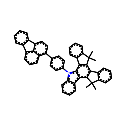 CC1(C)c2ccccc2-c2c1c1c(c3c4ccccc4n(-c4ccc(-c5ccc6c7c(cccc57)-c5ccccc5-6)cc4)c23)C(C)(C)c2ccccc2-1